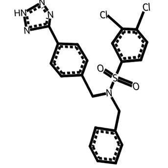 O=S(=O)(c1ccc(Cl)c(Cl)c1)N(Cc1ccccc1)Cc1ccc(-c2nn[nH]n2)cc1